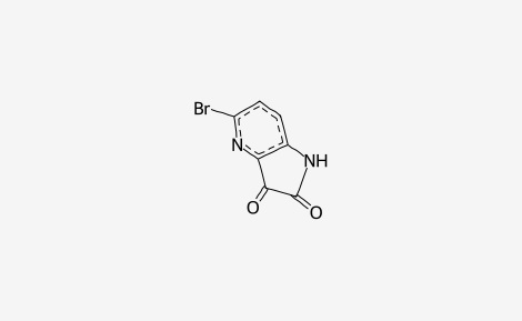 O=C1Nc2ccc(Br)nc2C1=O